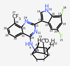 O=C(O)[C@@H]1C2CCC(CC2)[C@@H]1Nc1nc(-c2c[nH]c3c(F)cc(F)cc23)nc2c(C(F)(F)F)cccc12